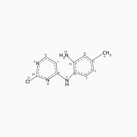 Cc1ccc(Nc2ccnc(Cl)n2)c(N)c1